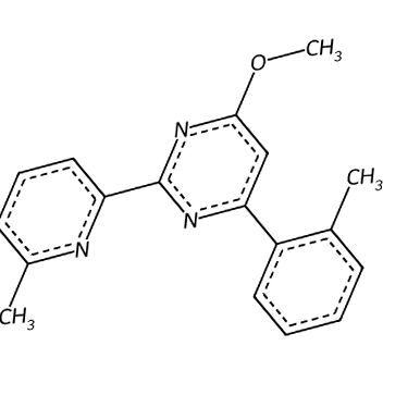 COc1cc(-c2ccccc2C)nc(-c2cccc(C)n2)n1